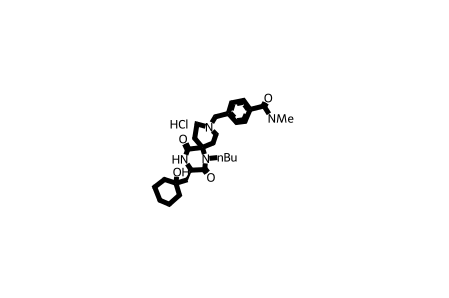 CCCCN1C(=O)[C@@H](CC2(O)CCCCC2)NC(=O)C12CCN(Cc1ccc(C(=O)NC)cc1)CC2.Cl